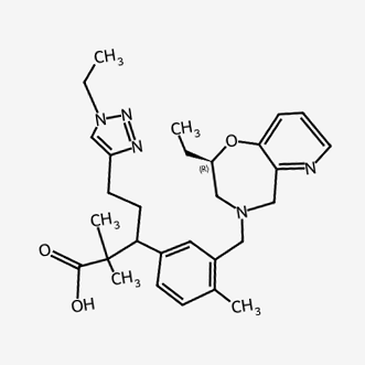 CC[C@@H]1CN(Cc2cc(C(CCc3cn(CC)nn3)C(C)(C)C(=O)O)ccc2C)Cc2ncccc2O1